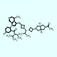 CCN(C(=O)c1cc(F)ccc1-n1cc(CC2CN(C(C(C)C)[C@H]3C[C@H](N4C[C@H]5CN(C(C)=O)C[C@@H]5C4)C3)C2)c2c(C)cncc21)C(C)C